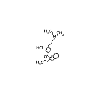 CCCc1cc2ccccn2c1C(=O)c1ccc(CCCCN(CC)CCC)cc1.Cl